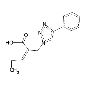 CCC=C(Cn1cc(-c2ccccc2)nn1)C(=O)O